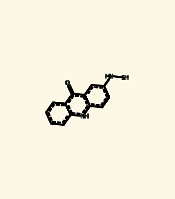 O=c1c2ccccc2[nH]c2ccc(NS)cc12